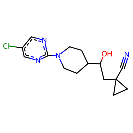 N#CC1(CC(O)C2CCN(c3ncc(Cl)cn3)CC2)CC1